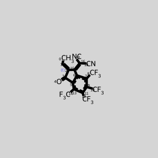 C/C=C1/C(=O)c2c(c(C(F)(F)F)c(C(F)(F)F)c(C(F)(F)F)c2C(F)(F)F)C1=C(C#N)C#N